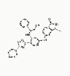 CCn1[nH]c(=O)c2ccc(Nc3cc(N[C@H](CO)c4ccccc4)c(-c4nc(-c5ccncc5)no4)cn3)nc21